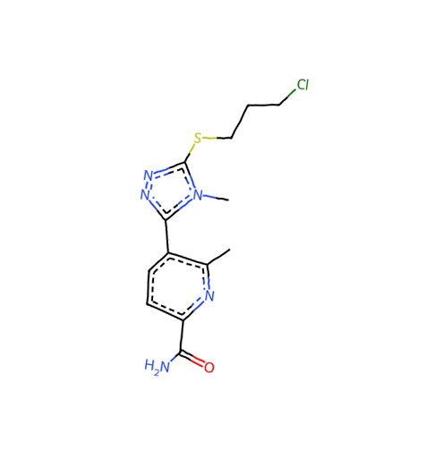 Cc1nc(C(N)=O)ccc1-c1nnc(SCCCCl)n1C